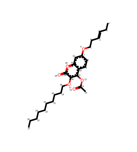 CCC=CCCOc1ccc2c(OC(C)=O)c(OCCCCCCCCCC)c(=O)oc2c1